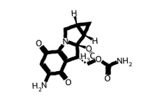 CO[C@@]12[C@H](COC(N)=O)C3=C(C(=O)C=C(N)C3=O)N1C[C@@H]1C[C@@H]12